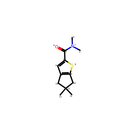 CN(C)C(=O)c1cc2c(s1)CC(C)(C)C2